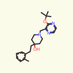 Cc1ccccc1CCC1(O)CCN(Cc2nccnc2OC(C)(C)C)CC1